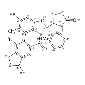 CNC(=O)c1cc2c(c(F)c1-c1c(Cl)c(F)cc3c1C[C@](c1ccccc1)([C@@H]1CCC(=O)N1)O3)CCC2F